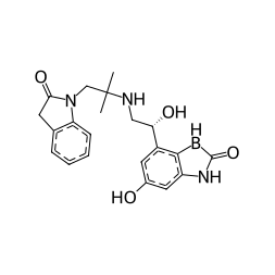 CC(C)(CN1C(=O)Cc2ccccc21)NC[C@H](O)c1cc(O)cc2c1BC(=O)N2